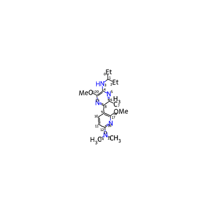 CCC(CC)Nc1nc(C)c(-c2ccc(N(C)C)nc2OC)nc1OC